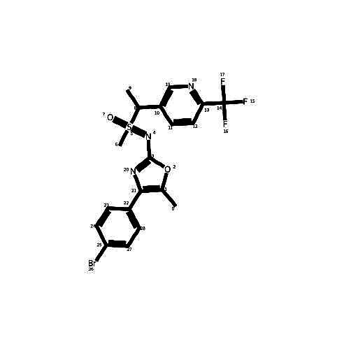 Cc1oc(N=S(C)(=O)C(C)c2ccc(C(F)(F)F)nc2)nc1-c1ccc(Br)cc1